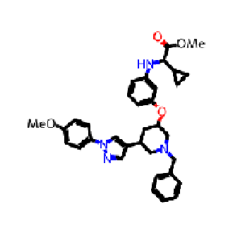 COC(=O)C(Nc1cccc(OC2CC(c3cnn(-c4ccc(OC)cc4)c3)CN(Cc3ccccc3)C2)c1)C1CC1